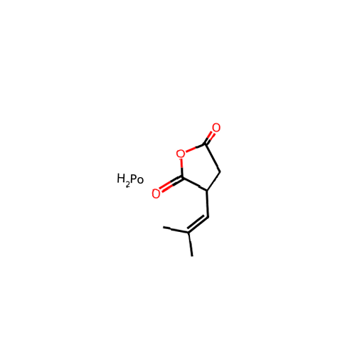 CC(C)=CC1CC(=O)OC1=O.[PoH2]